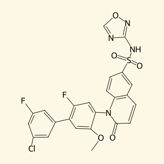 COc1cc(-c2cc(F)cc(Cl)c2)c(F)cc1-n1c(=O)ccc2cc(S(=O)(=O)Nc3ncon3)ccc21